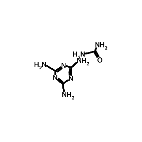 NC(N)=O.Nc1nc(N)nc(N)n1